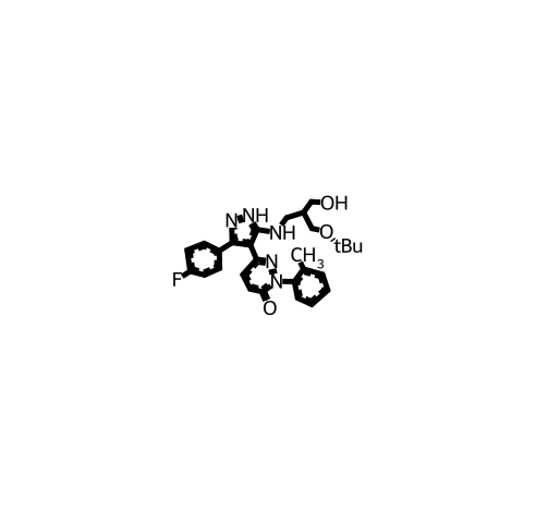 Cc1ccccc1-n1nc(-c2c(-c3ccc(F)cc3)n[nH]c2NCC(CO)COC(C)(C)C)ccc1=O